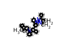 C=Cc1nc(-n2c3ccccc3c3cc(-c4cc5c(c6ccccc46)c4ccccc4n5-c4ccc5c(c4)C(C)(C)c4ccccc4-5)ccc32)nc(-c2ccccc2)c1C=C